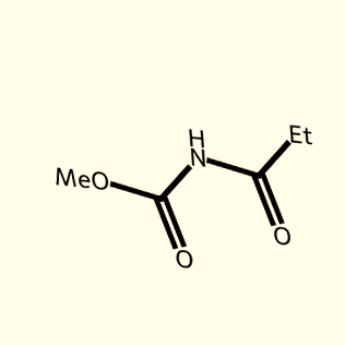 CCC(=O)NC(=O)OC